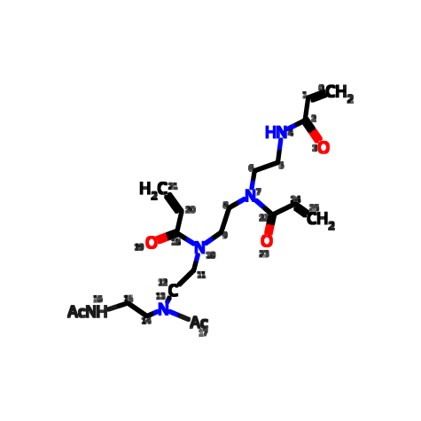 C=CC(=O)NCCN(CCN(CCN(CCNC(C)=O)C(C)=O)C(=O)C=C)C(=O)C=C